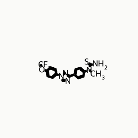 CN(C(N)=S)c1ccc(-c2ncn(-c3ccc(OC(F)(F)F)cc3)n2)cc1